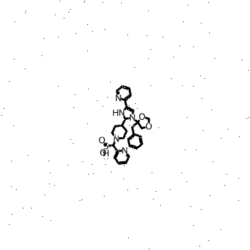 O=[SH](=O)C(c1ccccn1)N1CCC(C2NC(c3ccccn3)=CN2C2(Cc3ccccc3)COCO2)CC1